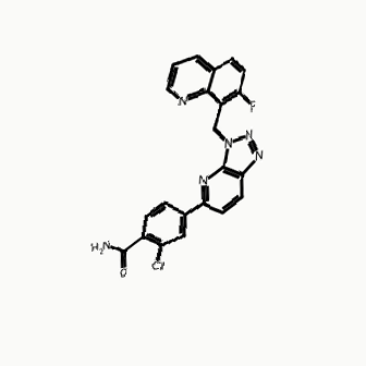 NC(=O)c1ccc(-c2ccc3nnn(Cc4c(F)ccc5cccnc45)c3n2)cc1Cl